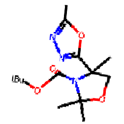 Cc1nnc(C2(C)COC(C)(C)N2C(=O)OC(C)(C)C)o1